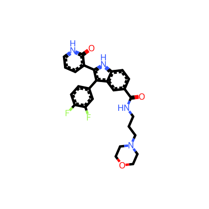 O=C(NCCCN1CCOCC1)c1ccc2[nH]c(-c3ccc[nH]c3=O)c(-c3ccc(F)c(F)c3)c2c1